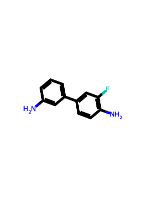 Nc1cccc(-c2ccc(N)c(F)c2)c1